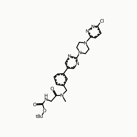 CN(Cc1cccc(-c2cnc(N3CCN(c4ccc(Cl)nn4)CC3)nc2)c1)C(=O)CNC(=O)OC(C)(C)C